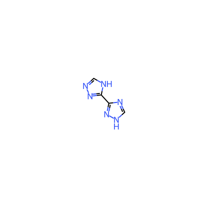 c1nc(-c2nnc[nH]2)n[nH]1